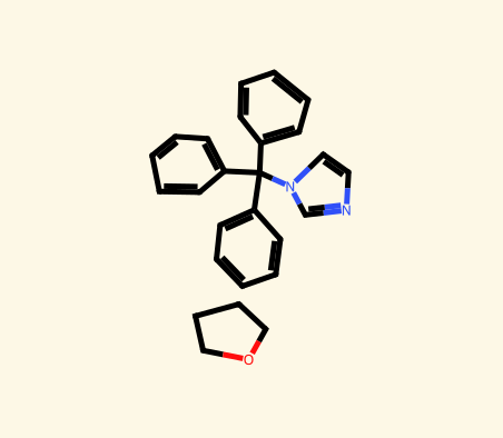 C1CCOC1.c1ccc(C(c2ccccc2)(c2ccccc2)n2ccnc2)cc1